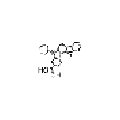 OB(O)c1ccc2c3c4sc5ccccc5c4ccc3n(C3=CC=CCC3)c2c1